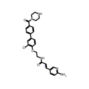 Nc1ccc(/C=C/C(=O)NCCOc2ccc(-c3ccc(C(=O)N4CCNCC4)cc3)cc2Cl)cn1